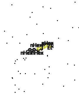 CCCCCCc1c(-c2ccc(-c3ccc(-c4ccc5c(c4)C(CCCCCC)(CCCCCC)c4cc(C)ccc4-5)s3)s2)sc(-c2ccc(-c3ccc(C(C)(C)CC)s3)s2)c1CCCCCC